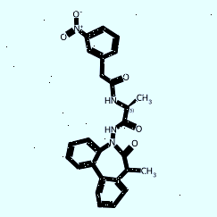 CC1C(=O)N(NC(=O)[C@H](C)NC(=O)Cc2cccc([N+](=O)[O-])c2)c2ccccc2-c2ccccc21